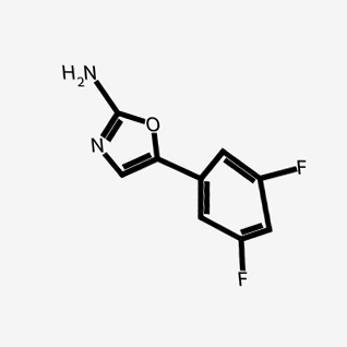 Nc1ncc(-c2cc(F)cc(F)c2)o1